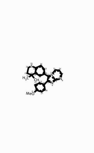 COc1ccc(-c2nc3ncccn3c2-c2ccc3c(c2)C(C)(C)CCS3)cc1